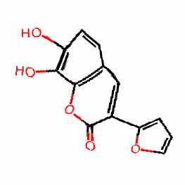 O=c1oc2c(O)c(O)ccc2cc1-c1ccco1